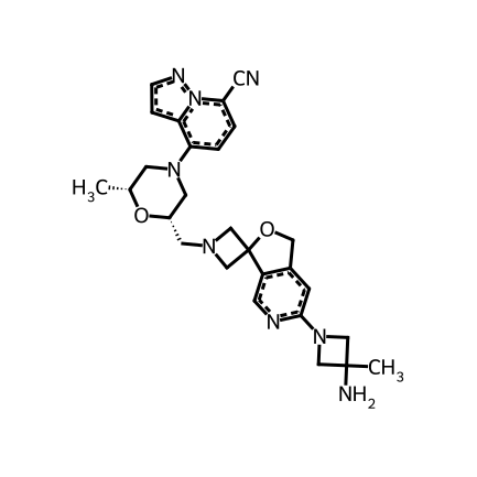 C[C@@H]1CN(c2ccc(C#N)n3nccc23)C[C@H](CN2CC3(C2)OCc2cc(N4CC(C)(N)C4)ncc23)O1